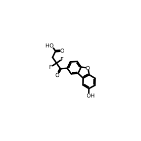 O=C(O)CC(F)(F)C(=O)c1ccc2oc3ccc(O)cc3c2c1